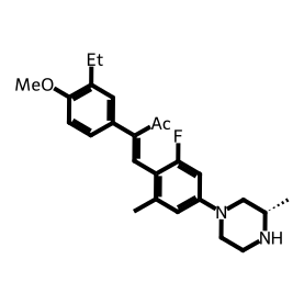 CCc1cc(/C(=C/c2c(C)cc(N3CCN[C@@H](C)C3)cc2F)C(C)=O)ccc1OC